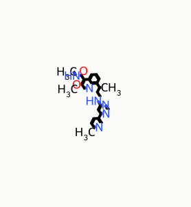 CNC(=O)c1c(OC)cnc2c(C(C)CCNc3cc(-c4ccc(C)nc4)ncn3)cccc12